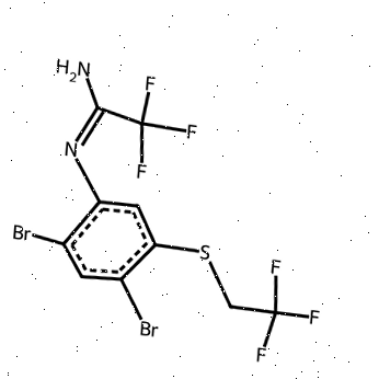 N/C(=N/c1cc(SCC(F)(F)F)c(Br)cc1Br)C(F)(F)F